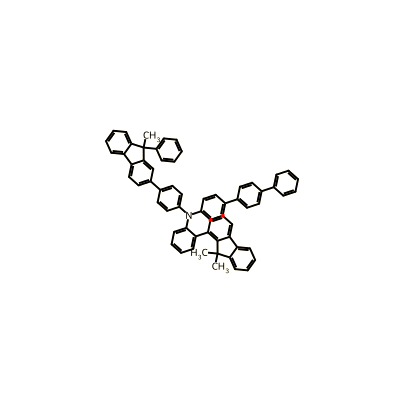 CC1(C)c2ccccc2-c2cccc(-c3ccccc3N(c3ccc(-c4ccc(-c5ccccc5)cc4)cc3)c3ccc(-c4ccc5c(c4)C(C)(c4ccccc4)c4ccccc4-5)cc3)c21